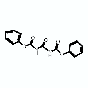 O=C(NC(=O)Oc1ccccc1)NC(=O)Oc1ccccc1